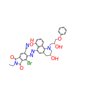 CCN1C(=O)c2cc(C#N)c(/N=N/c3cc4c(c5cccc(O)c35)N(CC(O)COc3ccccc3)CC(O)C4)c(Br)c2C1=O